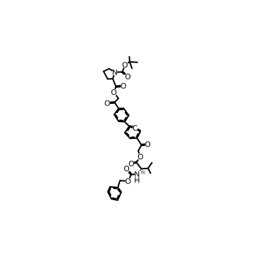 CC(C)[C@H](NC(=O)OCc1ccccc1)C(=O)OCC(=O)c1ccc(-c2ccc(C(=O)COC(=O)C3CCCN3C(=O)OC(C)(C)C)cc2)cc1